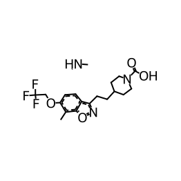 CNC.Cc1c(OCC(F)(F)F)ccc2c(CCC3CCN(C(=O)O)CC3)noc12